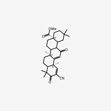 COC(=O)[C@@]12CCC3C(C(=O)C=C4[C@@]5(C)C=C(C#N)C(=O)C(C)(C)C5CC[C@]43C)C1CC(C)(C)CC2